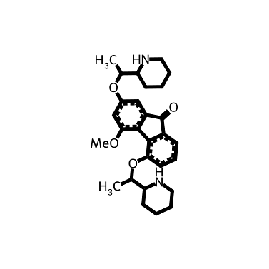 COc1cc(OC(C)C2CCCCN2)cc2c1-c1c(OC(C)C3CCCCN3)cccc1C2=O